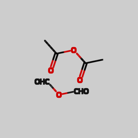 CC(=O)OC(C)=O.O=COC=O